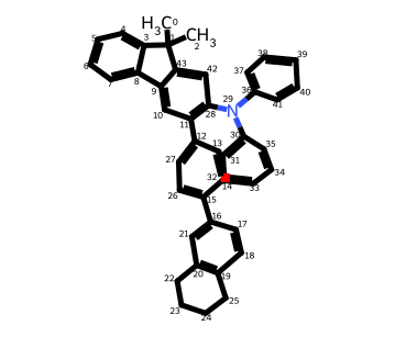 CC1(C)c2ccccc2-c2cc(-c3ccc(-c4ccc5c(c4)CCCC5)cc3)c(N(c3ccccc3)c3ccccc3)cc21